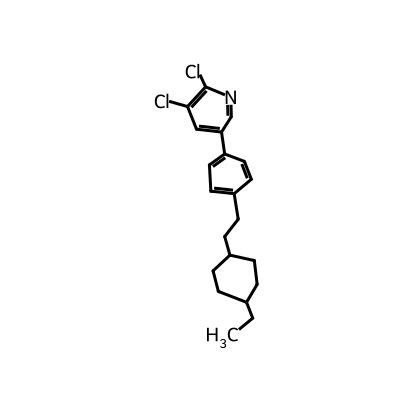 CCC1CCC(CCc2ccc(-c3cnc(Cl)c(Cl)c3)cc2)CC1